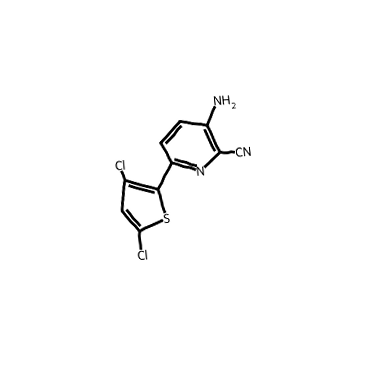 N#Cc1nc(-c2sc(Cl)cc2Cl)ccc1N